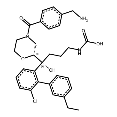 CCc1cccc(-c2c(Cl)cccc2[C@](O)(CCCNC(=O)O)[C@H]2CN(C(=O)c3ccc(CN)cc3)CCO2)c1